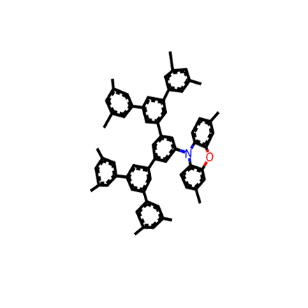 Cc1cc(C)cc(-c2cc(-c3cc(C)cc(C)c3)cc(-c3cc(-c4cc(-c5cc(C)cc(C)c5)cc(-c5cc(C)cc(C)c5)c4)cc(N4c5ccc(C)cc5Oc5cc(C)ccc54)c3)c2)c1